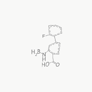 BNc1cc(-c2ccccc2F)ccc1C(=O)O